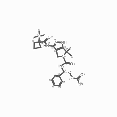 CC(C)(C)C(=O)OC[C@@H](NC(=O)N1Cc2c(NC(=O)C3(S(C)(C)C)CCC3)n[nH]c2C1(C)C)c1ccccc1